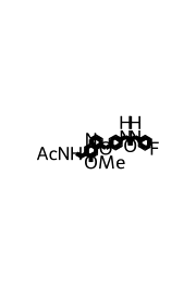 COc1cc2c(Oc3ccc(NC(=O)Nc4ccc(F)cc4)cc3)ccnc2cc1CNC(C)=O